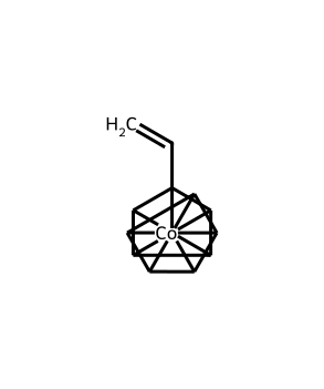 C=C[C]12[CH]3[CH]4[CH]5[CH]1[Co]45321678[CH]2[CH]1[CH]6[CH]7[CH]28